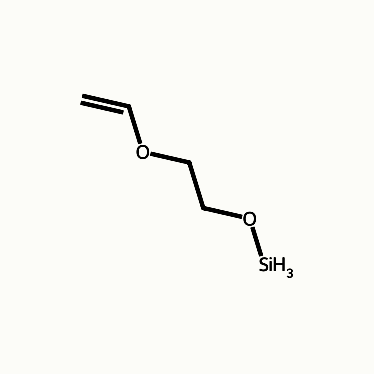 C=COCCO[SiH3]